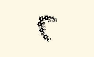 COc1cc(-c2nccc(-c3cccc(Nc4nccc(CNC5CCN(C(C)=O)CC5)c4F)c3Cl)c2Cl)ccc1CNC[C@H](C)O